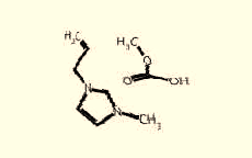 C=CCN1C=CN(C)C1.COC(=O)O